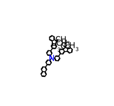 CC1(C)c2ccccc2-c2cc(-c3cccc(N(c4ccc(-c5ccc6ccccc6c5)cc4)c4cccc(-c5ccc6c(c5)-c5ccccc5C6(C)C)c4)c3)ccc21